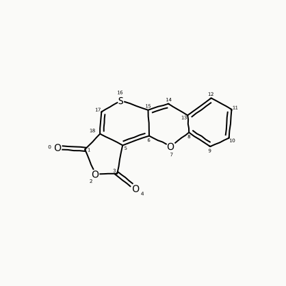 O=c1oc(=O)c2c3oc4ccccc4cc-3scc1-2